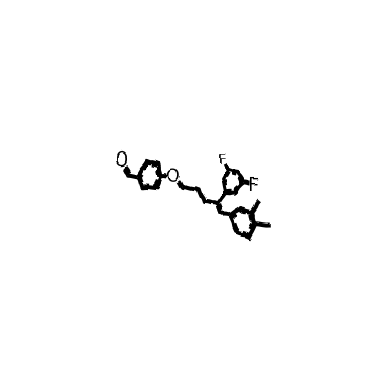 Cc1ccc(C=C(CCCOc2ccc(C=O)cc2)c2cc(F)cc(F)c2)cc1C